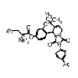 CC(=O)c1ccc(-n2c(=O)n3n(c2=O)C2C(=CC3)C(C)(C)Oc3cc(OC(=O)[C@@H](N)CC(C)C)ccc32)cc1